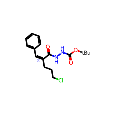 CC(C)(C)OC(=O)NNC(=O)/C(=C\c1ccccc1)CCCCl